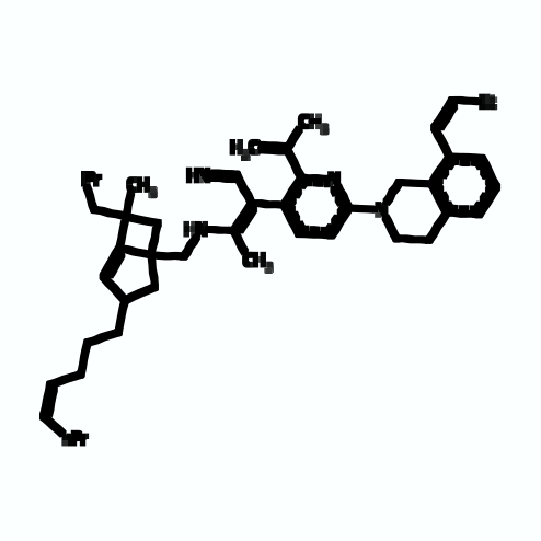 C=C(C)c1nc(N2CCc3cccc(/C=C\CC)c3C2)ccc1/C(C=N)=C(\C)NCC12CC(CCC/C=C\CCC)C=C1C(C)(CC(C)C)C2